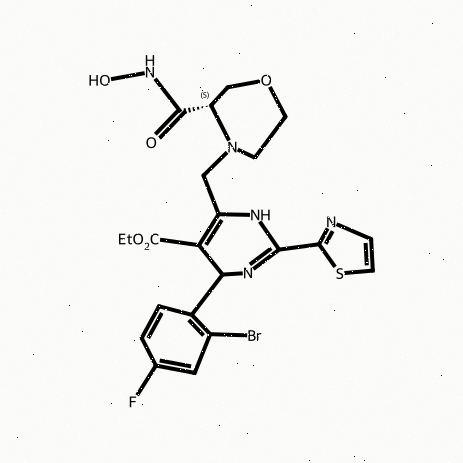 CCOC(=O)C1=C(CN2CCOC[C@H]2C(=O)NO)NC(c2nccs2)=NC1c1ccc(F)cc1Br